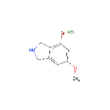 COc1cc(Br)c2c(c1)CNC2.Cl